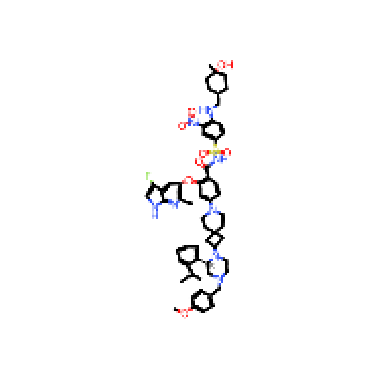 COc1ccc(CN2CCN(C3CC4(CCN(c5ccc(C(=O)NS(=O)(=O)c6ccc(NCC7CCC(C)(O)CC7)c([N+](=O)[O-])c6)c(Oc6cc7c(F)c[nH]c7nc6C)c5)CC4)C3)[C@H](c3ccccc3C(C)C)C2)cc1